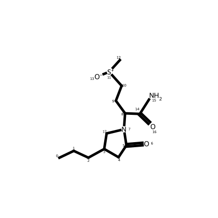 CCCC1CC(=O)N(C(CC[S+](C)[O-])C(N)=O)C1